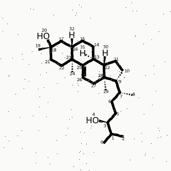 CC(C)[C@@H](O)CC[C@@H](C)[C@H]1CC[C@H]2[C@@H]3CC[C@H]4C[C@@](C)(O)CC[C@]4(C)C3=CC[C@]12C